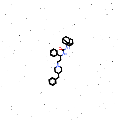 O=C(NC(CCN1CCC(Cc2ccccc2)CC1)c1ccccc1)NC12CC3CC(CC(C3)C1)C2